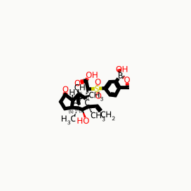 C=C[C@]1(C)C[C@@H](C(C(=O)O)S(=O)(=O)c2ccc3c(c2)B(O)OC3)[C@]2(C)[C@H](C)CC[C@]3(CCC(=O)[C@H]32)[C@@H](C)[C@@H]1O